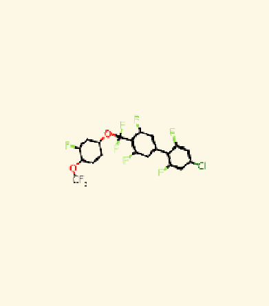 FC1CC(OC(F)(F)C2C(F)CC(C3C(F)CC(Cl)CC3F)CC2F)CCC1OC(F)(F)F